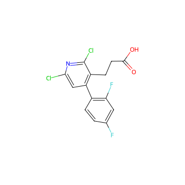 O=C(O)CCc1c(-c2ccc(F)cc2F)cc(Cl)nc1Cl